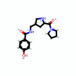 O=C(NCC1CNC(C(=O)N2CCCC2)C1)c1ccc(O)cc1